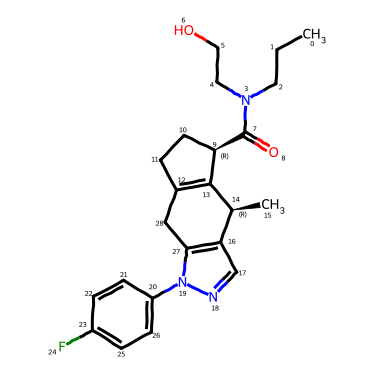 CCCN(CCO)C(=O)[C@@H]1CCC2=C1[C@@H](C)c1cnn(-c3ccc(F)cc3)c1C2